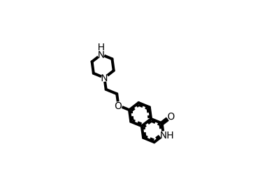 O=c1[nH]ccc2cc(OCCN3CCNCC3)ccc12